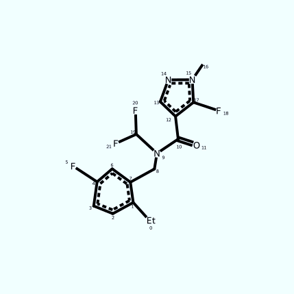 CCc1ccc(F)cc1CN(C(=O)c1cnn(C)c1F)C(F)F